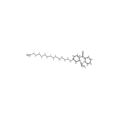 CCCCCCCCCCCCCCCc1ccc(C(=O)c2ccccc2)c(OC)c1